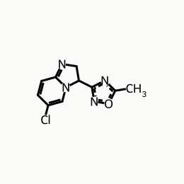 Cc1nc(C2CN=C3C=CC(Cl)=CN32)no1